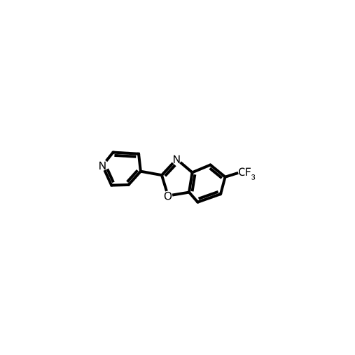 FC(F)(F)c1ccc2oc(-c3ccncc3)nc2c1